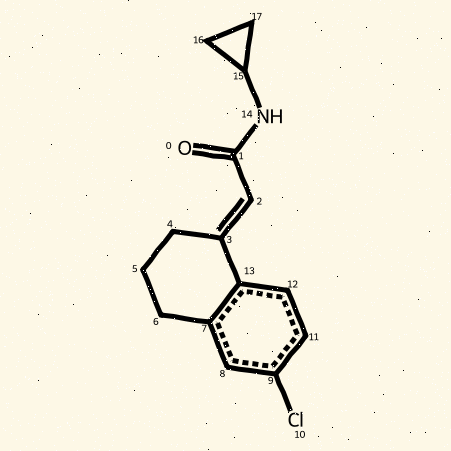 O=C(C=C1CCCc2cc(Cl)ccc21)NC1CC1